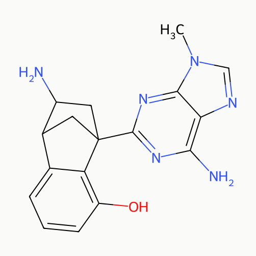 Cn1cnc2c(N)nc(C34CC(N)C(C3)c3cccc(O)c34)nc21